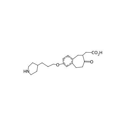 O=C(O)CC1Cc2ccc(OCCCC3CCNCC3)cc2CCC1=O